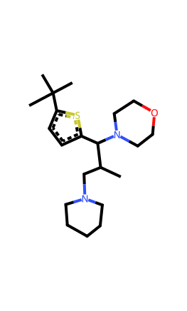 CC(CN1CCCCC1)C(c1ccc(C(C)(C)C)s1)N1CCOCC1